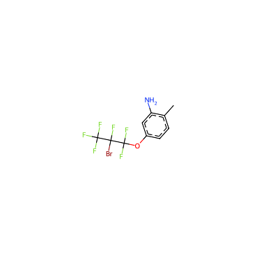 Cc1ccc(OC(F)(F)C(F)(Br)C(F)(F)F)cc1N